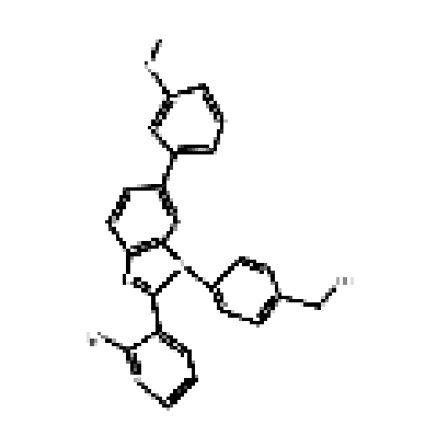 COc1cccc(-c2ccc3nc(-c4cccnc4N)n(-c4ccc(CO)cc4)c3n2)c1